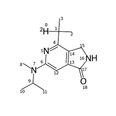 [2H]C(C)(C)c1nc(N(C)C(C)C)cc2c1CNC2=O